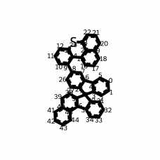 c1ccc2c(c1)-c1cc(-c3cccc4c3-c3cccc5cccc(c35)S4)ccc1C21c2ccccc2-c2c1ccc1ccccc21